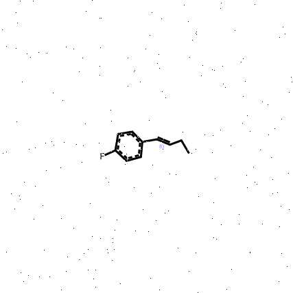 [CH2]C/C=C/c1ccc(F)cc1